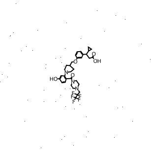 O=C(O)CC(c1cccc(OCC2CCN(c3cc(O)ccc3C(=O)N3CCN(CC(F)(F)C(F)(F)F)CC3)CC2)c1)C1CC1